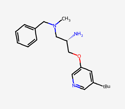 CN(Cc1ccccc1)C[C@H](N)COc1cncc(C(C)(C)C)c1